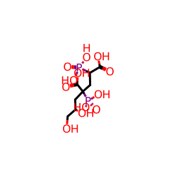 O=C(O)C(CC(CC(O)CO)(C(=O)O)P(=O)(O)O)P(=O)(O)O